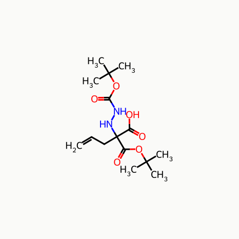 C=CCC(NNC(=O)OC(C)(C)C)(C(=O)O)C(=O)OC(C)(C)C